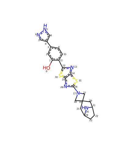 Oc1cc(-c2cn[nH]c2)ccc1-c1nc2sc(N3CC4(CC5CCC(C4)N5)C3)nc2s1